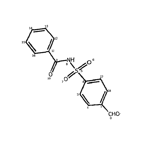 O=[C]c1ccc(S(=O)(=O)NC(=O)c2ccccc2)cc1